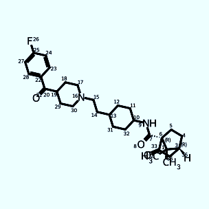 CC1(C)[C@@H]2CC[C@]1(C(=O)NC1CCC(CCN3CCC(C(=O)c4ccc(F)cc4)CC3)CC1)C(=O)C2